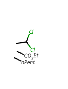 CC(Cl)Cl.CCCCCC.CCOC(C)=O